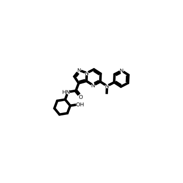 CN(c1cccnc1)c1ccn2ncc(C(=O)NC3CCCCC3O)c2n1